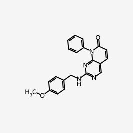 COc1ccc(CNc2ncc3ccc(=O)n(-c4ccccc4)c3n2)cc1